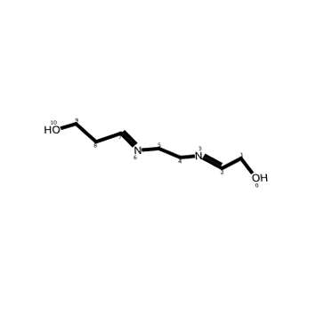 OCC=NCCN=CCCO